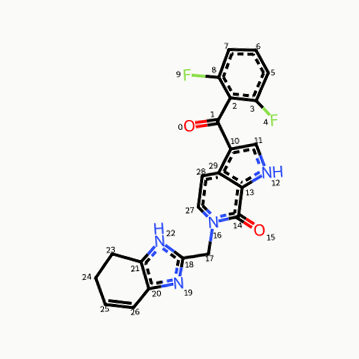 O=C(c1c(F)cccc1F)c1c[nH]c2c(=O)n(Cc3nc4c([nH]3)CCC=C4)ccc12